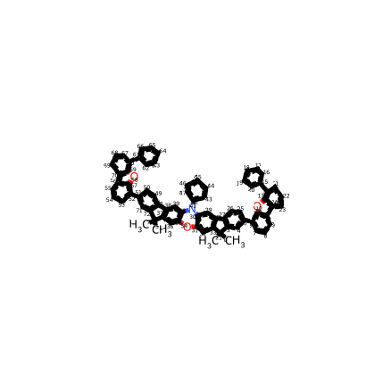 CC1(C)c2cc(-c3cccc4c3oc3c(-c5ccccc5)cccc34)ccc2-c2cc3c(cc21)Oc1cc2c(cc1N3c1ccccc1)-c1ccc(-c3cccc4c3oc3c(-c5ccccc5)cccc34)cc1C2(C)C